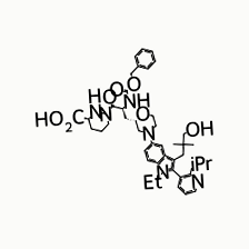 CCn1c(-c2cccnc2C(C)C)c(CC(C)(C)CO)c2cc(N3CCO[C@@H](C[C@H](NC(=O)OCc4ccccc4)C(=O)N4CCC[C@@H](C(=O)O)N4)C3)ccc21